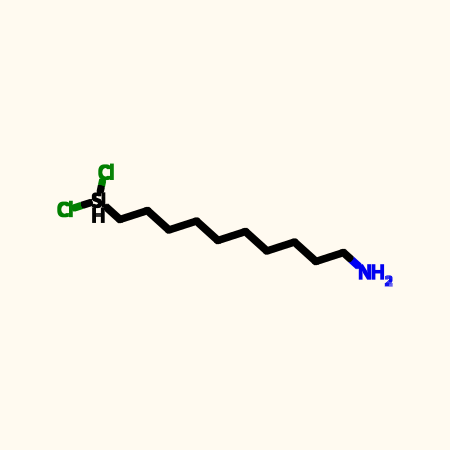 NCCCCCCCCCC[SiH](Cl)Cl